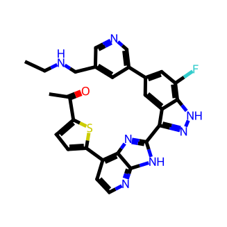 CCNCc1cncc(-c2cc(F)c3[nH]nc(-c4nc5c(-c6ccc(C(C)=O)s6)ccnc5[nH]4)c3c2)c1